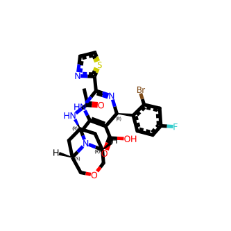 CC(=O)N[C@@H]1C[C@H]2COC[C@@H](C1)N2CC1=C(C(=O)O)[C@H](c2ccc(F)cc2Br)N=C(c2nccs2)N1